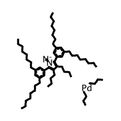 CCCCCCCCc1cc(CCCCCCCC)cc(C2=C(CCCC)C(CCCC)=C(c3cc(CCCCCCCC)cc(CCCCCCCC)c3)[N+]2=[N-])c1.CCC[CH2][Pd][CH2]CCC